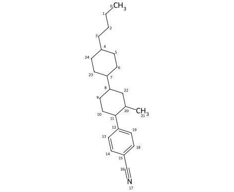 CCCCC1CCC(C2CCC(c3ccc(C#N)cc3)C(C)C2)CC1